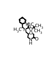 C[C@H](c1ccccc1)N(CC1CNC(=O)CO1)C(=O)OC(C)(C)C